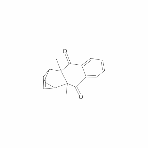 CC12C(=O)c3ccccc3C(=O)C1(C)C1C=CC2C1